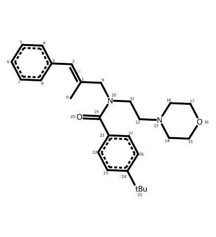 C/C(=C\c1ccccc1)CN(CCN1CCOCC1)C(=O)c1ccc(C(C)(C)C)cc1